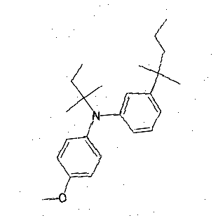 CCCC(C)(C)c1cccc(N(c2ccc(OC)cc2)C(C)(C)CC)c1